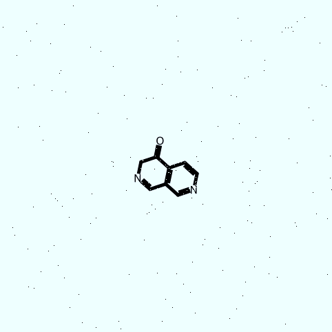 O=C1CN=Cc2cnccc21